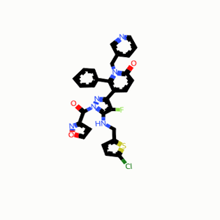 O=C(c1ccon1)n1nc(-c2ccc(=O)n(Cc3cccnc3)c2-c2ccccc2)c(F)c1NCc1ccc(Cl)s1